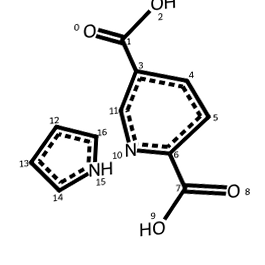 O=C(O)c1ccc(C(=O)O)nc1.c1cc[nH]c1